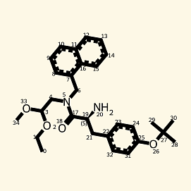 CCOC(CN(Cc1cccc2ccccc12)C(=O)[C@@H](N)Cc1ccc(OC(C)(C)C)cc1)OC